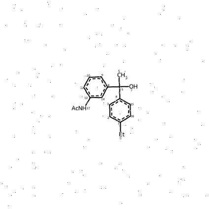 CCc1ccc(C(C)(O)c2cccc(NC(C)=O)c2)cc1